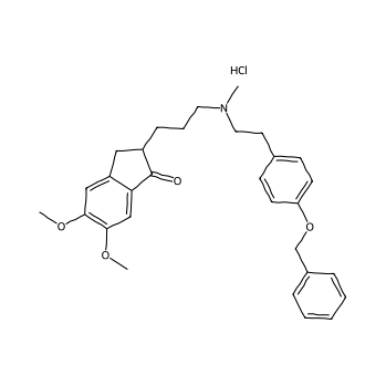 COc1cc2c(cc1OC)C(=O)C(CCCN(C)CCc1ccc(OCc3ccccc3)cc1)C2.Cl